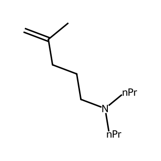 C=C(C)CCCN(CCC)CCC